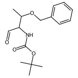 CC(OCc1ccccc1)C(C=O)NC(=O)OC(C)(C)C